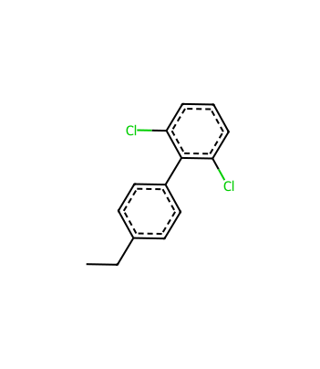 CCc1ccc(-c2c(Cl)cccc2Cl)cc1